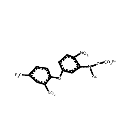 CCOC(=O)CN(C(C)=O)c1cc(Oc2ccc(C(F)(F)F)cc2[N+](=O)[O-])ccc1[N+](=O)[O-]